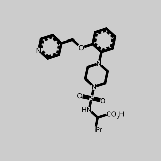 CC(C)C(NS(=O)(=O)N1CCN(c2ccccc2OCc2ccncc2)CC1)C(=O)O